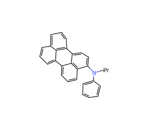 CC(C)N(c1ccccc1)c1ccc2c3cccc4cccc(c5cccc1c52)c43